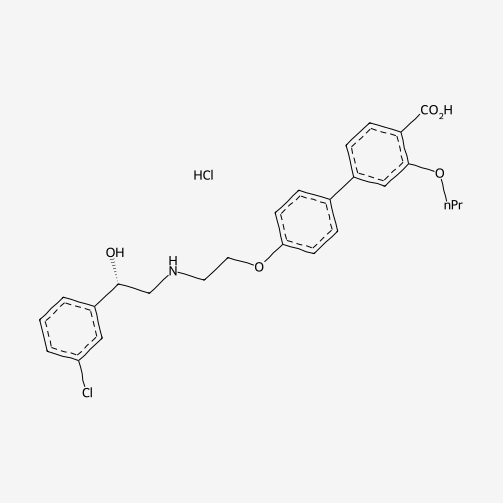 CCCOc1cc(-c2ccc(OCCNC[C@@H](O)c3cccc(Cl)c3)cc2)ccc1C(=O)O.Cl